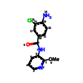 COc1ncccc1NC(=O)c1ccc(N)c(Cl)c1